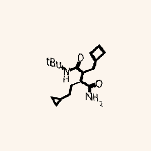 CC(C)(C)NC(=O)C(CC1CCC1)[C@H](CCC1CC1)C(N)=O